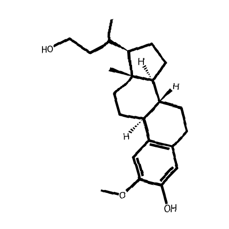 COc1cc2c(cc1O)CC[C@@H]1[C@@H]2CC[C@]2(C)[C@@H](C(C)CCO)CC[C@@H]12